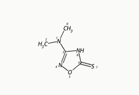 CN(C)c1noc(=S)[nH]1